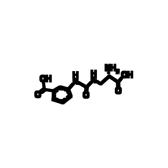 N[C@@H](CNC(=O)Nc1cccc(C(=O)O)c1)C(=O)O